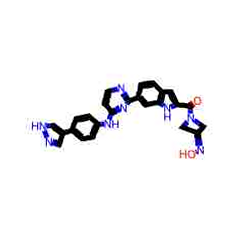 O=C(c1cc2ccc(-c3nccc(Nc4ccc(-c5cn[nH]c5)cc4)n3)cc2[nH]1)N1CC(=NO)C1